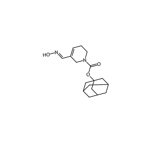 O=C(OC12CC3CC(CC(C3)C1)C2)N1CCC=C(C=NO)C1